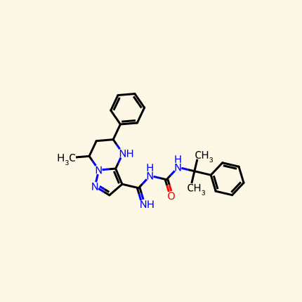 CC1CC(c2ccccc2)Nc2c(C(=N)NC(=O)NC(C)(C)c3ccccc3)cnn21